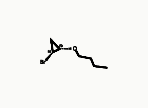 CCCCO[C@H]1C[C@@H]1Br